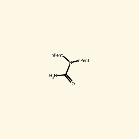 CCCCCN(CCCCC)C(N)=O